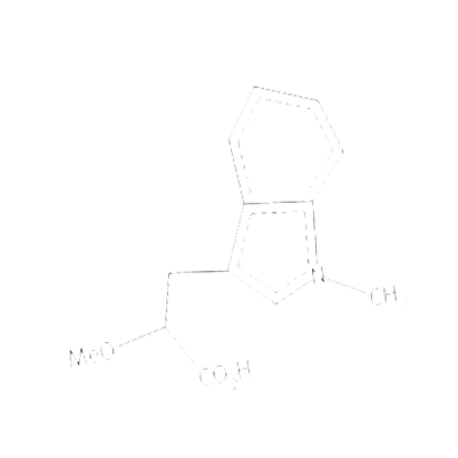 COC(Cc1cn(C)c2ccccc12)C(=O)O